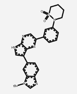 CC(C)(C)n1cnc2ccc(-c3c[nH]c4ncc(-c5cccc(N6CCCCS6(=O)=O)c5)nc34)cc21